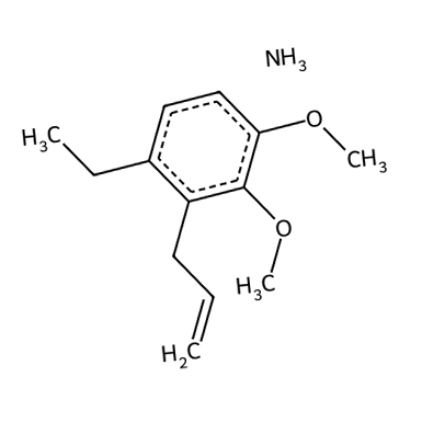 C=CCc1c(CC)ccc(OC)c1OC.N